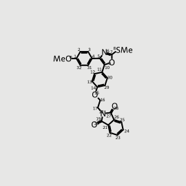 COc1ccc(-c2nc(SC)oc2-c2ccc(OCCN3C(=O)c4ccccc4C3=O)cc2)cc1